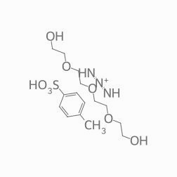 Cc1ccc(S(=O)(=O)O)cc1.N=[N+]=N.OCCOCCOCCOCCO